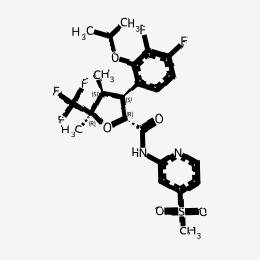 CC(C)Oc1c([C@H]2[C@H](C(=O)Nc3cc(S(C)(=O)=O)ccn3)O[C@@](C)(C(F)(F)F)[C@H]2C)ccc(F)c1F